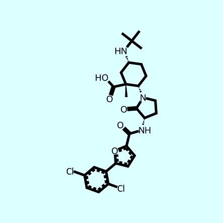 CC(C)(C)N[C@@H]1CC[C@H](N2CC[C@H](NC(=O)c3ccc(-c4cc(Cl)ccc4Cl)o3)C2=O)[C@](C)(C(=O)O)C1